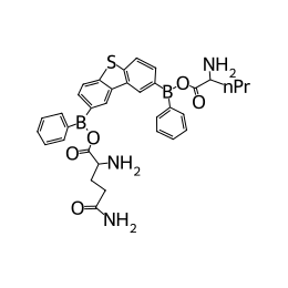 CCCC(N)C(=O)OB(c1ccccc1)c1ccc2sc3ccc(B(OC(=O)C(N)CCC(N)=O)c4ccccc4)cc3c2c1